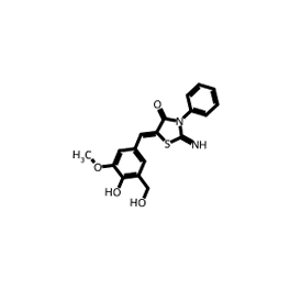 COc1cc(/C=C2\SC(=N)N(c3ccccc3)C2=O)cc(CO)c1O